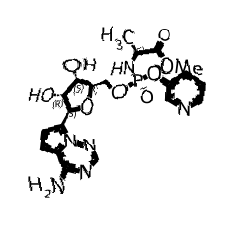 COC(=O)[C@H](C)NP(=O)(OC[C@H]1O[C@@H](c2ccc3c(N)ncnn23)[C@H](O)[C@@H]1O)Oc1cccnc1